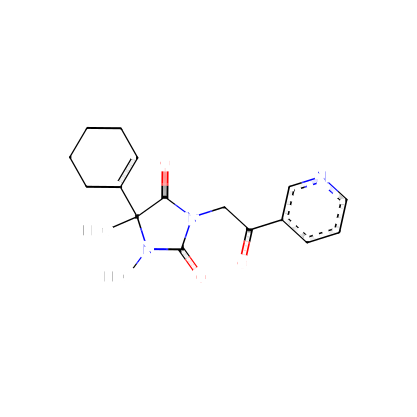 CN1C(=O)N(CC(=O)c2cccnc2)C(=O)C1(C)C1=CCCCC1